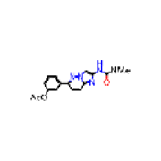 CNC(=O)Nc1cn2nc(-c3cccc(OC(C)=O)c3)ccc2n1